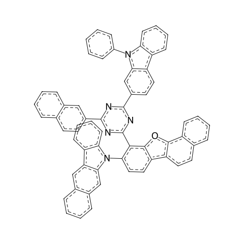 c1ccc(-n2c3ccccc3c3ccc(-c4nc(-c5ccc6ccccc6c5)nc(-c5c(-n6c7ccccc7c7cc8ccccc8cc76)ccc6c5oc5c7ccccc7ccc65)n4)cc32)cc1